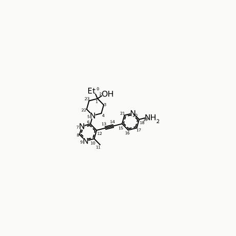 CCC1(O)CCN(c2ncnc(C)c2C#Cc2ccc(N)nc2)CC1